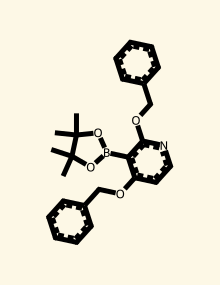 CC1(C)OB(c2c(OCc3ccccc3)ccnc2OCc2ccccc2)OC1(C)C